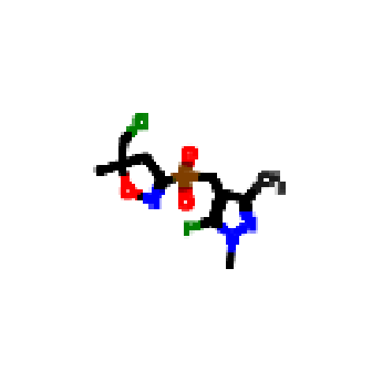 Cn1nc(C(F)(F)F)c(CS(=O)(=O)C2=NOC(C)(CCl)C2)c1F